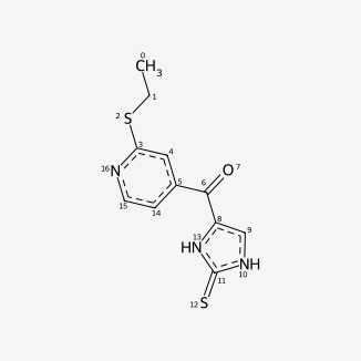 CCSc1cc(C(=O)c2c[nH]c(=S)[nH]2)ccn1